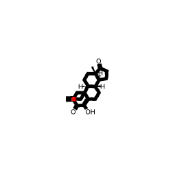 C#CCC12CCC(=O)C(O)=C1CC[C@@H]1[C@@H]2CC[C@]2(C)C(=O)CC[C@@H]12